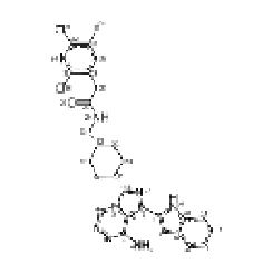 Nc1nccn2c1c(-c1cc3ccccc3[nH]1)nc2[C@H]1CC[C@@H](CNC(=O)Cc2cc(F)c(Cl)nc2Cl)CC1